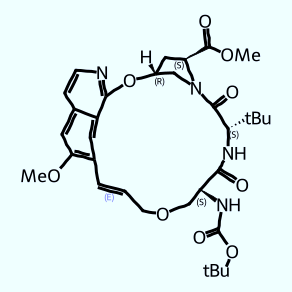 COC(=O)[C@@H]1C[C@@H]2CN1C(=O)[C@H](C(C)(C)C)NC(=O)[C@@H](NC(=O)OC(C)(C)C)COC/C=C/c1cc3c(nccc3cc1OC)O2